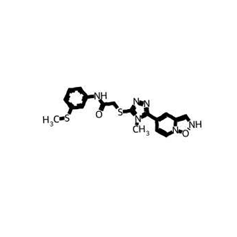 CSc1cccc(NC(=O)CSc2nnc(C3=CC4=CNON4C=C3)n2C)c1